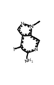 Cn1ncc2c(I)c(N)ncc21